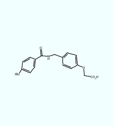 CC(C)(C)c1ccc(C(=O)NCc2ccc(OCC(=O)O)cc2)cc1